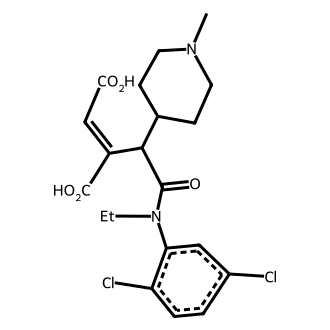 CCN(C(=O)C(/C(=C\C(=O)O)C(=O)O)C1CCN(C)CC1)c1cc(Cl)ccc1Cl